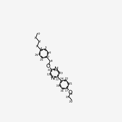 CCCCc1ccc(COc2cnc(-c3ccc(OCC)cc3)cn2)cc1